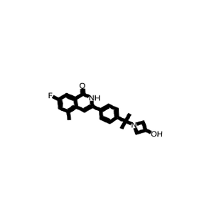 Cc1cc(F)cc2c(=O)[nH]c(-c3ccc(C(C)(C)N4CC(O)C4)cc3)cc12